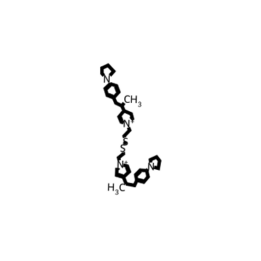 CC(CC1=CCC(N2CCCC2)C=C1)c1cc[n+](CCSSCC[N+]2=CCC(C(C)Cc3ccc(N4CCCC4)cc3)C=C2)cc1